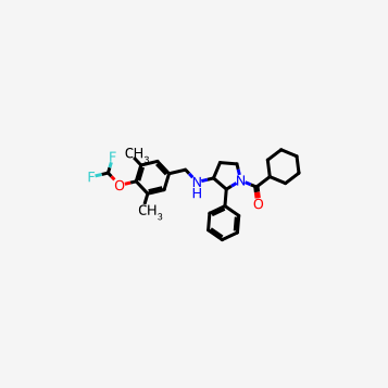 Cc1cc(CNC2CCN(C(=O)C3CCCCC3)C2c2ccccc2)cc(C)c1OC(F)F